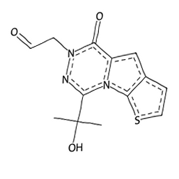 CC(C)(O)c1nn(CC=O)c(=O)c2cc3ccsc3n12